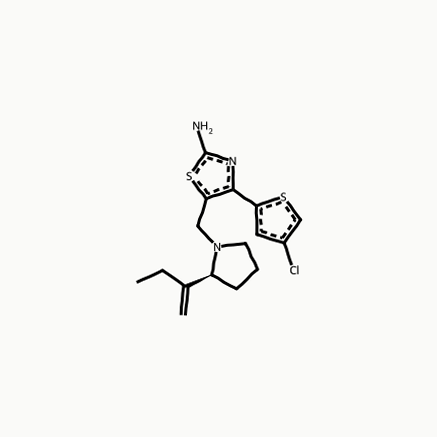 C=C(CC)[C@@H]1CCCN1Cc1sc(N)nc1-c1cc(Cl)cs1